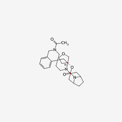 CC(=O)N1Cc2ccccc2C2(CCN(C3CC4CCC(C3)N4C(=O)O[C@@H]3CCOC3)CC2)C1